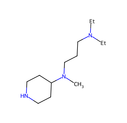 CCN(CC)CCCN(C)C1CCNCC1